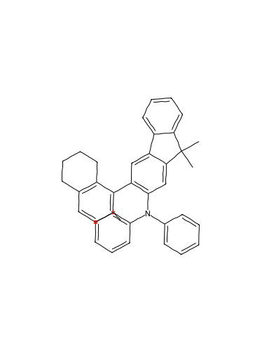 Cc1ccc2c(c1-c1cc3c(cc1N(c1ccccc1)c1ccccc1)C(C)(C)c1ccccc1-3)CCCC2